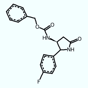 O=C1C[C@H](NC(=O)OCc2ccccc2)C(c2ccc(F)cc2)N1